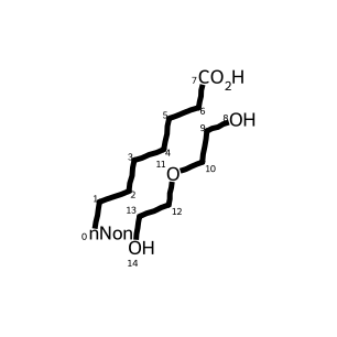 CCCCCCCCCCCCCCCC(=O)O.OCCOCCO